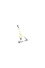 CS1=CC1